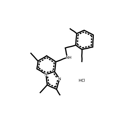 Cc1cc(NCc2c(C)cccc2C)c2nc(C)c(C)n2c1.Cl